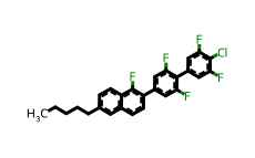 CCCCCc1ccc2c(F)c(-c3cc(F)c(-c4cc(F)c(Cl)c(F)c4)c(F)c3)ccc2c1